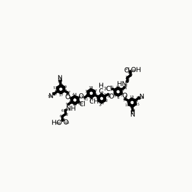 Cc1c(COc2cc(OCc3cc(C#N)cc(C#N)c3)c(CNCCCC(=O)O)cc2Cl)cccc1-c1cccc(COc2cc(OCc3cc(C#N)cc(C#N)c3)c(CNCCCC(=O)O)cc2Cl)c1C